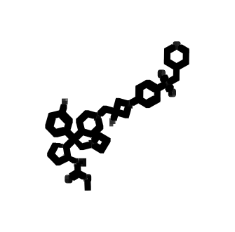 COC(=O)N[C@H]1CCC[C@@H]1[C@](CN1CCC1)(c1cccc(F)c1)C1CCN(CC2(F)CN(c3ccc(S(=O)(=O)CC4CCOCC4)cc3)C2)CC1